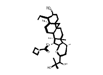 C/C=C1/C(O)CCC23CC24CCC2(C)C5C(OC(C(O)C(C)(C)O)C[C@H]5C)[C@H](OC(=O)N5CCC5)[C@@]2(C)C4CC[C@@H]13